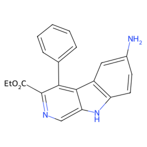 CCOC(=O)c1ncc2[nH]c3ccc(N)cc3c2c1-c1ccccc1